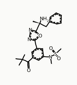 CN(c1cc(C(=O)C(C)(C)C)cc(-c2nnc([C@](C)(N)Cc3ccccc3)o2)c1)S(C)(=O)=O